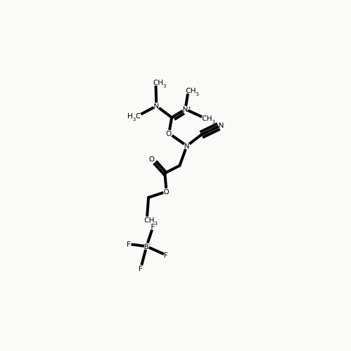 CCOC(=O)CN(C#N)OC(N(C)C)=[N+](C)C.F[B-](F)(F)F